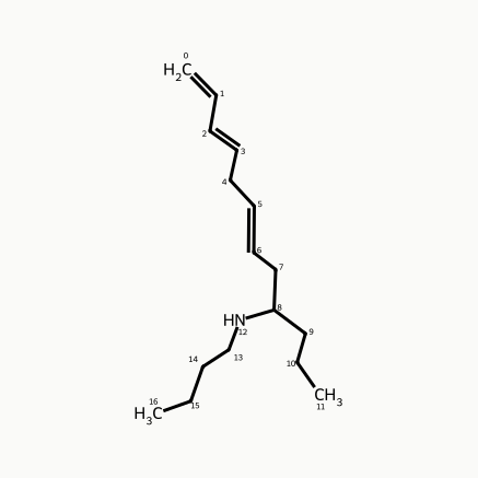 C=CC=CCC=CCC(CCC)NCCCC